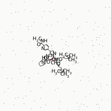 CNC(=O)c1ccc(-c2cnn3c(N(COCC[Si](C)(C)C)COCC[Si](C)(C)C)cc(C4CC5CCC(C4)N5C(=O)OC(C)(C)C)nc23)cn1